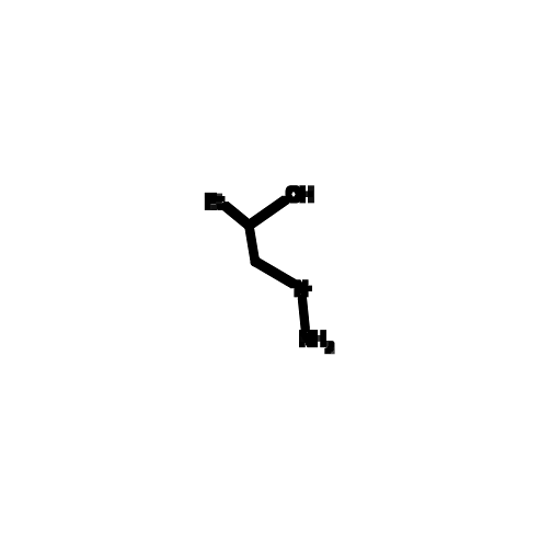 CCC(O)C[N]N